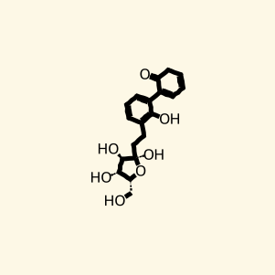 O=C1CC=CC=C1c1cccc(CC[C@@]2(O)O[C@H](CO)[C@H](O)[C@H]2O)c1O